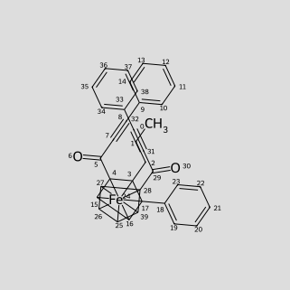 CCC[C]12[C]3(C(=O)C#Cc4ccccc4)[CH]4[CH]5[C]1(c1ccccc1)[Fe]45321678[CH]2[CH]1[CH]6[C]7(C(=O)C#Cc1ccccc1)[CH]28